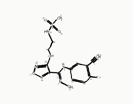 C#Cc1cc(N/C(=N\O)c2nonc2NCCNS(C)(=O)=O)ccc1F